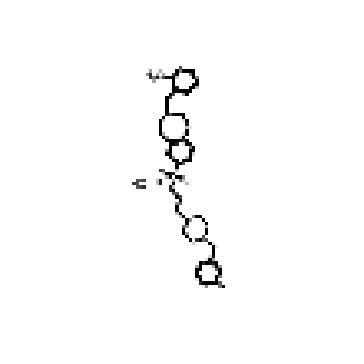 Cc1ccccc1CN1CCc2ccc(S(=O)(=O)CCCC3CCN(Cc4cccc(Cl)c4)CC3)cc2CC1.Cl.Cl